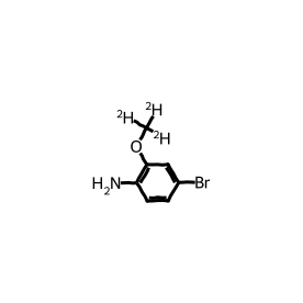 [2H]C([2H])([2H])Oc1cc(Br)ccc1N